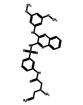 C=CCN(C)CC(=O)Nc1cccc(S(=O)(=O)Nc2nc3ccccc3nc2Nc2cc(OC)cc(OC)c2)c1